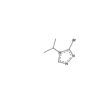 CC(C)n1cnnc1Br